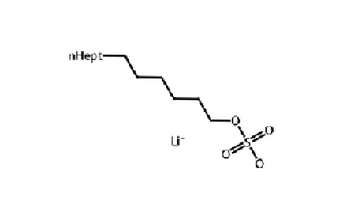 CCCCCCCCCCCCCOS(=O)(=O)[O-].[Li+]